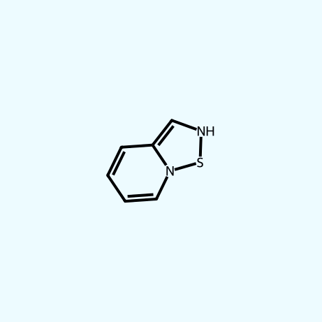 C1=CC2=CNSN2C=C1